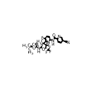 CC(C)(C)OC(=O)NC1=N[C@](C)(c2nc(NC(=O)c3ccc(C#N)cn3)ccc2F)C(F)(F)[C@H](C(F)(F)F)O1